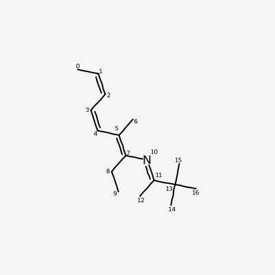 C\C=C/C=C\C(C)=C(CC)\N=C(/C)C(C)(C)C